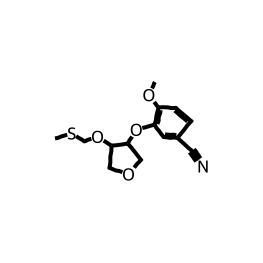 COc1ccc(C#N)cc1OC1COCC1OCSC